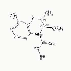 C[C@@H](Oc1ccccc1[N+](=O)[O-])[C@H](NC(=O)OC(C)(C)C)C(=O)O